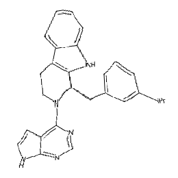 CC(C)c1cccc(CC2c3[nH]c4ccccc4c3CCN2c2ncnc3[nH]ccc23)c1